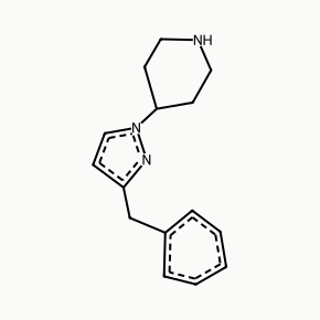 c1ccc(Cc2ccn(C3CCNCC3)n2)cc1